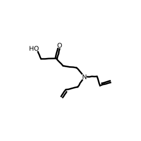 C=CCN(CC=C)CCC(=O)CO